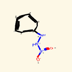 O=[N+]([O-])NNc1ccccc1